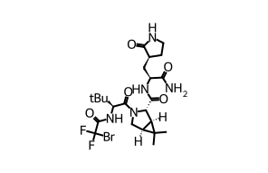 CC(C)(C)[C@H](NC(=O)C(F)(F)Br)C(=O)N1C[C@H]2[C@@H]([C@H]1C(=O)N[C@@H](C[C@@H]1CCNC1=O)C(N)=O)C2(C)C